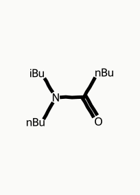 [CH2]CCCC(=O)N(CCCC)C(C)CC